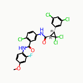 COc1ccc(NC(=O)c2cc(NC(=O)[C@H]3[C@H](c4cc(Cl)cc(Cl)c4)C3(Cl)Cl)ccc2Cl)c(F)c1